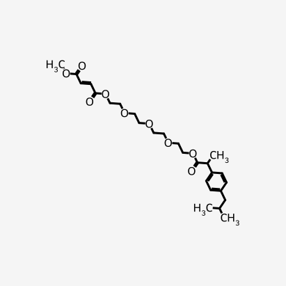 COC(=O)/C=C/C(=O)OCCOCCOCCOCCOC(=O)C(C)c1ccc(CC(C)C)cc1